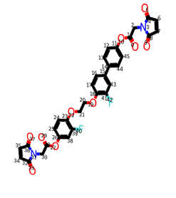 O=C(CN1C(=O)C=CC1=O)Oc1ccc(-c2ccc(OCCOc3ccc(OC(=O)CN4C(=O)C=CC4=O)cc3F)c(F)c2)cc1